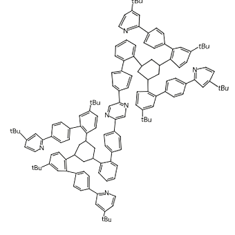 CC(C)(C)c1ccnc(-c2ccc(-c3cc(C(C)(C)C)ccc3C3CC(c4ccccc4-c4ccc(-c5cnc(-c6ccc(-c7ccccc7C7CC(c8ccc(C(C)(C)C)cc8-c8ccc(-c9cc(C(C)(C)C)ccn9)cc8)CC(c8ccc(C(C)(C)C)cc8-c8ccc(-c9cc(C(C)(C)C)ccn9)cc8)C7)cc6)cn5)cc4)CC(c4ccc(C(C)(C)C)cc4-c4ccc(-c5cc(C(C)(C)C)ccn5)cc4)C3)cc2)c1